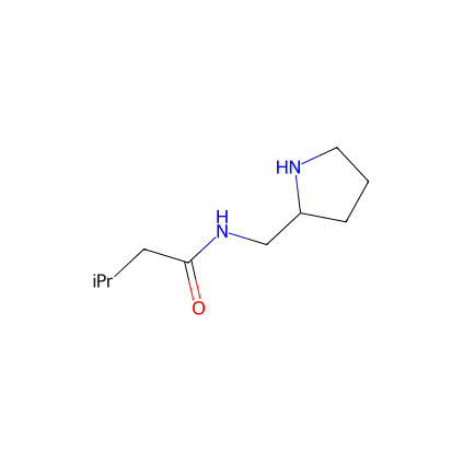 CC(C)CC(=O)NCC1CCCN1